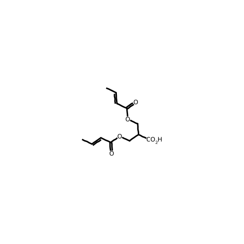 CC=CC(=O)OCC(COC(=O)C=CC)C(=O)O